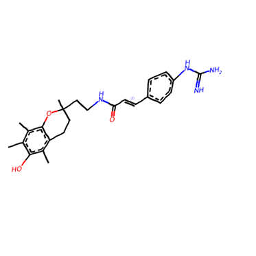 Cc1c(C)c2c(c(C)c1O)CCC(C)(CCNC(=O)/C=C/c1ccc(NC(=N)N)cc1)O2